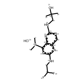 CN(C)c1nc(NCC(F)F)nc2cnc(NCC(C)(C)O)nc12.Cl